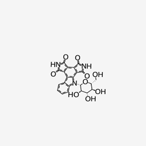 O=c1[nH]c(=O)c2c1c1c(=O)[nH]c(=O)c1c1c2c2ccccc2n1[C@@H]1O[C@H](CO)[C@@H](O)[C@H](O)[C@H]1O